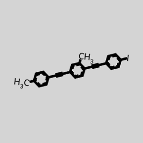 Cc1ccc(C#Cc2ccc(C#Cc3ccc(I)cc3)c(C)c2)cc1